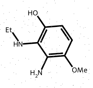 CCNc1c(O)ccc(OC)c1N